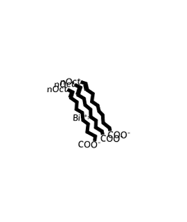 CCCCCCCCC=CCCCCCCCC(=O)[O-].CCCCCCCCC=CCCCCCCCC(=O)[O-].CCCCCCCCC=CCCCCCCCC(=O)[O-].[Bi+3]